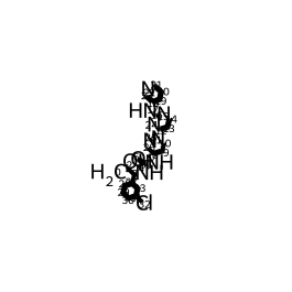 C=C(O)[C@@H](NC(=O)NC1=CCN(c2ccnc(Nc3cccnc3)n2)N=C1)c1cccc(Cl)c1